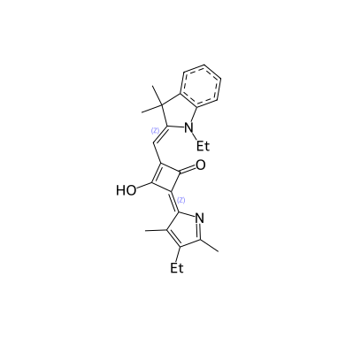 CCC1=C(C)/C(=C2/C(=O)C(/C=C3\N(CC)c4ccccc4C3(C)C)=C2O)N=C1C